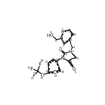 O=C1CN(Cc2ccnc(CO)c2)C(=O)N1c1ccc(OC(F)(F)F)cc1